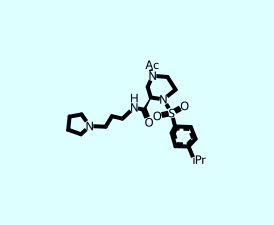 CC(=O)N1CCN(S(=O)(=O)c2ccc(C(C)C)cc2)[C@@H](C(=O)NCCCN2CCCC2)C1